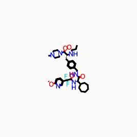 CCC(=O)N[C@H](Cc1ccc(CNC(=O)[C@@H](NC(=O)C(F)(F)c2ccc(OC)nc2)C2CCCCCC2)cc1)C(=O)N1CCN(C)CC1